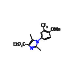 CCOC(=O)c1nc(C)n(-c2ccc(OC)c(C(F)(F)F)c2)c1C